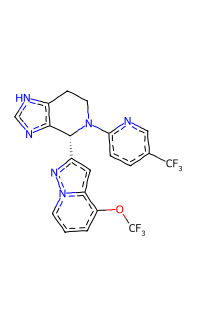 FC(F)(F)Oc1cccn2nc([C@@H]3c4nc[nH]c4CCN3c3ccc(C(F)(F)F)cn3)cc12